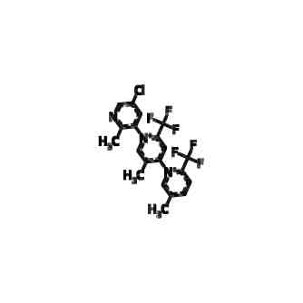 Cc1ccc(C(F)(F)F)[n+](-c2cc(C(F)(F)F)[n+](-c3cc(Cl)cnc3C)cc2C)c1